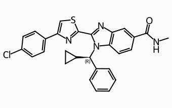 CNC(=O)c1ccc2c(c1)nc(-c1nc(-c3ccc(Cl)cc3)cs1)n2[C@@H](c1ccccc1)C1CC1